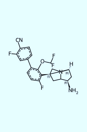 N#Cc1ccc(-c2ccc(F)c([C@]34CC5[C@H](N)C[C@H]3N5C4)c2OC(F)F)cc1F